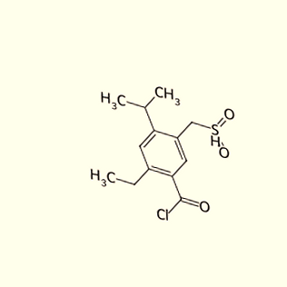 CCc1cc(C(C)C)c(C[SH](=O)=O)cc1C(=O)Cl